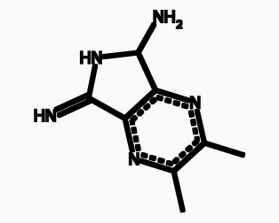 Cc1nc2c(nc1C)C(N)NC2=N